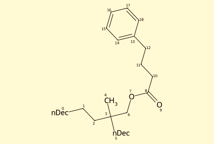 CCCCCCCCCCCCC(C)(CCCCCCCCCC)COC(=O)CCCc1ccccc1